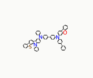 c1ccc(-c2ccc(N(c3ccc(-c4ccc(N(c5ccccc5)c5ccc6c(c5)c5ccc7c8ccccc8sc7c5n6-c5ccccc5)cc4)cc3)c3ccc4c(c3)oc3ccccc34)cc2)cc1